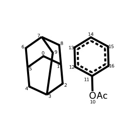 C1C2CC3CC1CC(C2)C3.CC(=O)Oc1ccccc1